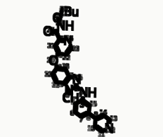 Cn1c(Nc2cccc(-c3ccncc3)c2)nc2cc(Oc3ccnc(C(=O)NOC(C)(C)C)c3)ccc21